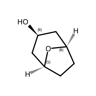 O[C@H]1C[C@H]2CC[C@@H](C1)O2